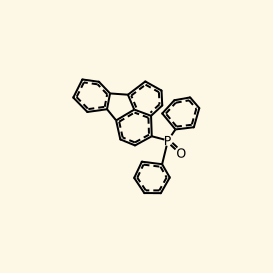 O=P(c1ccccc1)(c1ccccc1)c1ccc2c3c(cccc13)-c1ccccc1-2